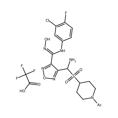 CC(=O)N1CCC(S(=O)(=O)C(N)c2nonc2/C(=N/O)Nc2ccc(F)c(Cl)c2)CC1.O=C(O)C(F)(F)F